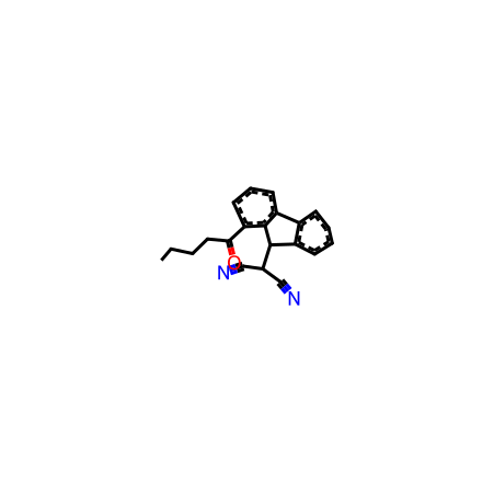 CCCCC(=O)c1cccc2c1C(C(C#N)C#N)c1ccccc1-2